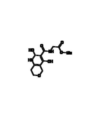 CC(C)(C)OC(=O)CNC(=O)C1=C(O)C2=C(CCOC2)NC1O